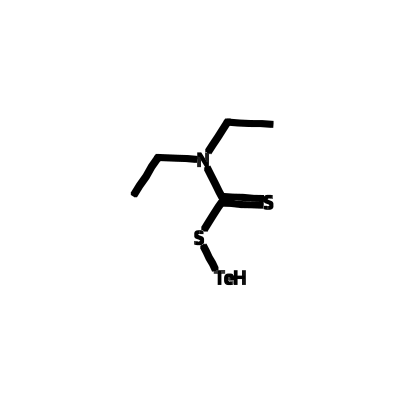 CCN(CC)C(=S)S[TeH]